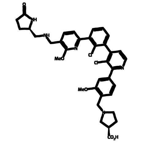 COc1cc(-c2nccc(-c3cccc(-c4ccc(CNC[C@H]5CCC(=O)N5)c(OC)n4)c3Cl)c2Cl)ccc1CN1CC[C@@H](C(=O)O)C1